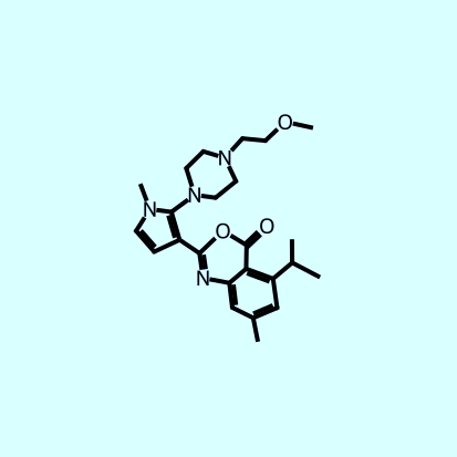 COCCN1CCN(c2c(-c3nc4cc(C)cc(C(C)C)c4c(=O)o3)ccn2C)CC1